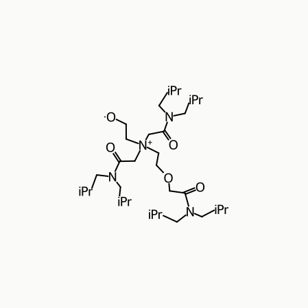 CC(C)CN(CC(C)C)C(=O)COCC[N+](CC[O])(CC(=O)N(CC(C)C)CC(C)C)CC(=O)N(CC(C)C)CC(C)C